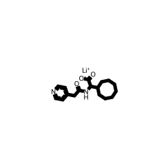 O=C(Cc1ccncc1)NC(C(=O)[O-])C1CCCCCCC1.[Li+]